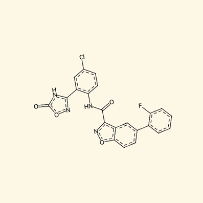 O=C(Nc1ccc(Cl)cc1-c1noc(=O)[nH]1)c1noc2ccc(-c3ccccc3F)cc12